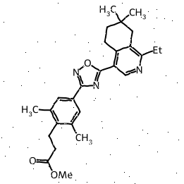 CCc1ncc(-c2nc(-c3cc(C)c(CCC(=O)OC)c(C)c3)no2)c2c1CC(C)(C)CC2